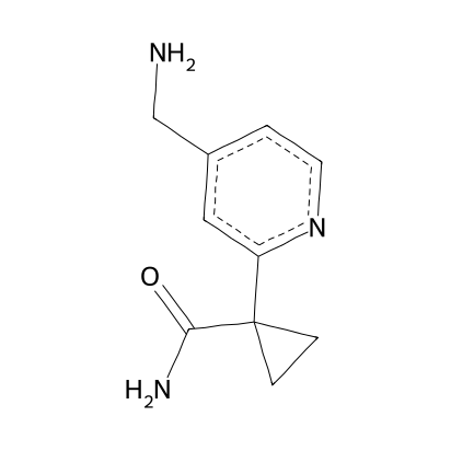 NCc1ccnc(C2(C(N)=O)CC2)c1